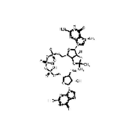 COC1[C@@H](COP(=O)(O)OP(=O)(O)OP(=O)(O)OC[C@H]2O[C@@H](n3c[n+](C)c4c(=O)[nH]c(N)nc43)[C@H]3OC(C)(C)OC23)O[C@@H](n2cnc3c(=O)[nH]c(C)nc32)[C@H]1O